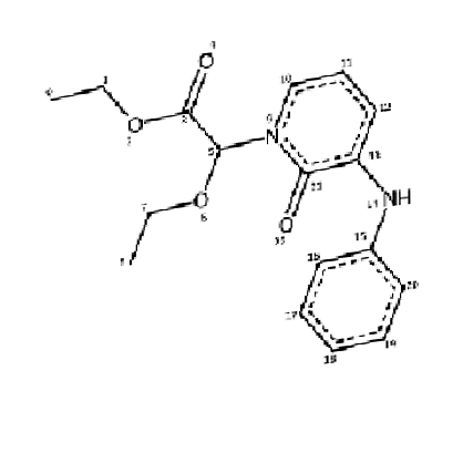 CCOC(=O)C(OCC)n1cccc(Nc2ccccc2)c1=O